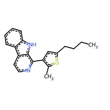 CCCCc1cc(-c2nccc3c2[nH]c2ccccc23)c(C)s1